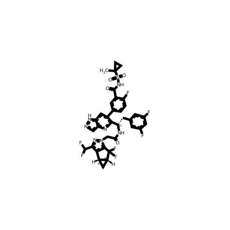 CC1(S(=O)(=O)NC(=O)c2cc(-c3cc4[nH]ncc4nc3[C@H](Cc3cc(F)cc(F)c3)NC(=O)Cn3nc(C(F)F)c4c3C(F)(F)[C@@H]3C[C@H]43)ccc2F)CC1